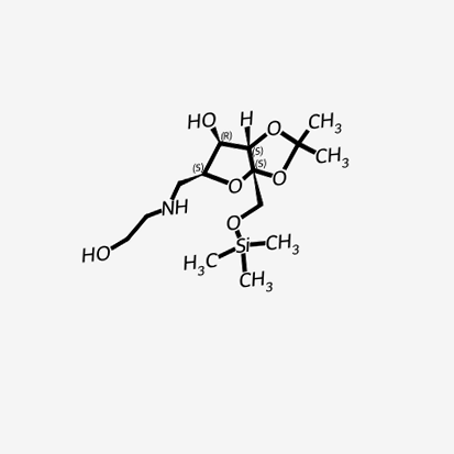 CC1(C)O[C@H]2[C@H](O)[C@H](CNCCO)O[C@@]2(CO[Si](C)(C)C)O1